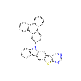 c1ccc2c(c1)c1ccccc1c1cc(-n3c4ccccc4c4cc5sc6ncncc6c5cc43)ccc21